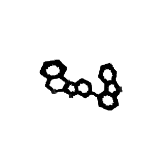 c1ccc2c(c1)COc1nc3cc(-c4cccc5sc6ccccc6c45)ccc3n1-2